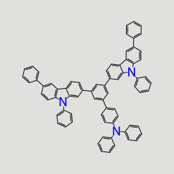 c1ccc(-c2ccc3c(c2)c2ccc(-c4cc(-c5ccc(N(c6ccccc6)c6ccccc6)cc5)cc(-c5ccc6c7cc(-c8ccccc8)ccc7n(-c7ccccc7)c6c5)c4)cc2n3-c2ccccc2)cc1